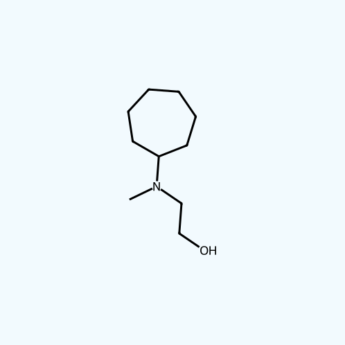 CN(CCO)C1CCCCCC1